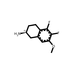 COc1cc2c(c(F)c1F)CC[C@H](N)C2